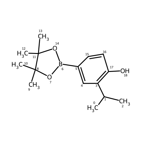 CC(C)c1cc(B2OC(C)(C)C(C)(C)O2)ccc1O